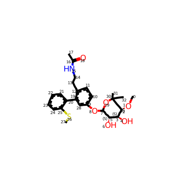 CO[C@@H]1[C@@H](O)[C@H](O)C(Oc2ccc(CCNC(C)=O)c(-c3ccccc3SC)c2)OC1(C)C